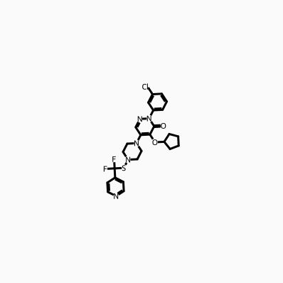 O=c1c(OC2CCCC2)c(N2CCN(SC(F)(F)c3ccncc3)CC2)cnn1-c1cccc(Cl)c1